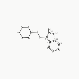 c1ccc2c(CCN3CCCCC3)[nH]cc2c1